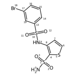 NS(=O)(=O)c1sccc1NS(=O)(=O)c1cccc(Br)c1